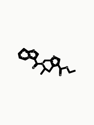 CCOC(=O)c1csc2c1CC(C)N(C(=O)c1cnc3ccccn13)C2